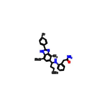 COCCC(Nc1ccccc1CC(N)=O)c1cc(OC)c2[nH]c(-c3ccc(C(C)C)cc3)nc2c1C(F)(F)F